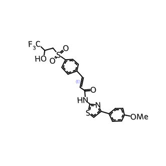 COc1ccc(-c2csc(NC(=O)/C=C/c3ccc(S(=O)(=O)CC(O)C(F)(F)F)cc3)n2)cc1